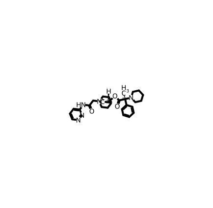 C[C@@](C(=O)O[C@H]1C[N+]2(CC(=O)Nc3cccnn3)CCC1CC2)(c1ccccc1)N1CCCCC1